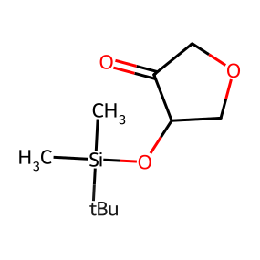 CC(C)(C)[Si](C)(C)OC1COCC1=O